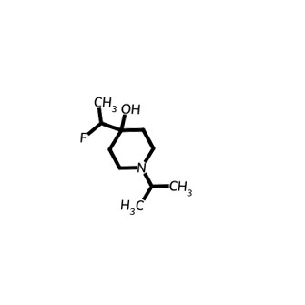 CC(C)N1CCC(O)(C(C)F)CC1